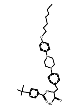 CCCCCCCOc1ccc(N2CCN(c3ccc(CC(NC(=O)c4ccc(C(C)(C)C)cc4)C(=O)O)cc3)CC2)cc1